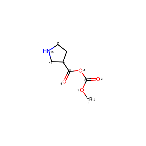 CC(C)(C)OC(=O)OC(=O)C1CCNC1